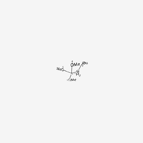 CCC(C)[SiH2]C(OC)(OC)OC